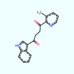 O=C(CCC(=O)c1c[nH]c2ccccc12)c1ncccc1C(F)(F)F